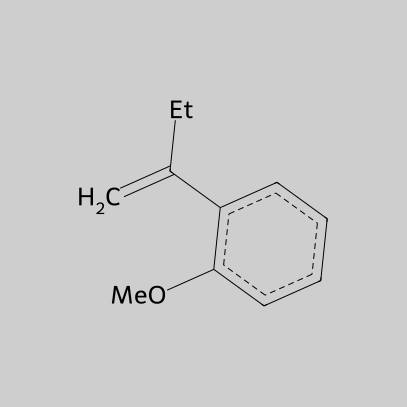 C=C(CC)c1ccccc1OC